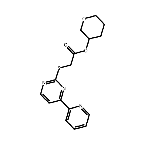 O=C(CSc1nccc(-c2ccccn2)n1)OC1CCCOC1